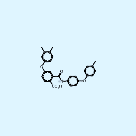 Cc1ccc(Oc2ccc(NC(=O)c3cc(Oc4ccc(C)c(C)c4)ccc3C(=O)O)cc2)cc1